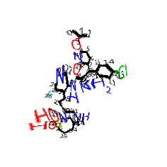 CC(C)Oc1ccc([C@@H](c2ccc(Cl)cc2)[C@H](N)C(=O)Nc2cncc(F)c2CC[C@H]2CN[C@@H]3CCCS(O)(O)N2C3)cn1